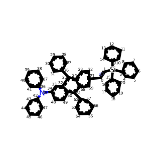 C(=C\[Si](c1ccccc1)(c1ccccc1)c1ccccc1)/c1ccc2c(-c3ccccc3)c3cc(N(c4ccccc4)c4ccccc4)ccc3c(-c3ccccc3)c2c1